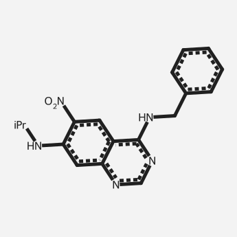 CC(C)Nc1cc2ncnc(NCc3ccccc3)c2cc1[N+](=O)[O-]